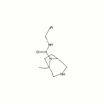 CC(C)CNC(=O)N1C2CCC1(C)CNC2